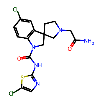 NC(=O)CN1CCC2(C1)CN(C(=O)Nc1ncc(Cl)s1)c1ccc(Cl)cc12